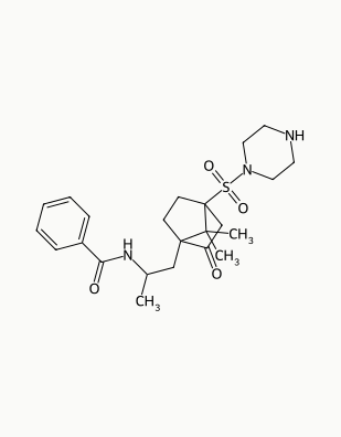 CC(CC12CCC(S(=O)(=O)N3CCNCC3)(CC1=O)C2(C)C)NC(=O)c1ccccc1